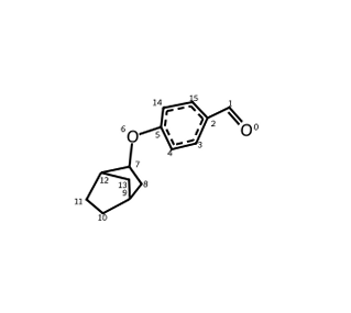 O=Cc1ccc(OC2CC3CCC2C3)cc1